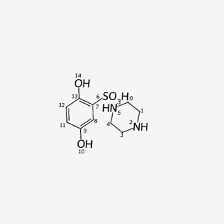 C1CNCCN1.O=S(=O)(O)c1cc(O)ccc1O